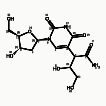 NC(=O)C(c1cn([C@H]2C[C@H](O)[C@@H](CO)O2)c(=O)[nH]c1=O)C(O)CO